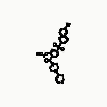 O=C(O)c1cc(S(=O)(=O)c2ccc3cc(Br)ccc3c2)ccc1C(=O)N1CCN(c2ccncc2)CC1